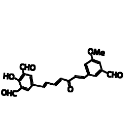 COc1cc(C=O)cc(/C=C/C(=O)/C=C/C=C/c2cc(C=O)c(O)c(C=O)c2)c1